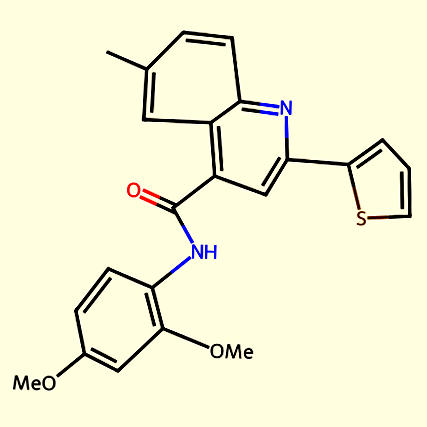 COc1ccc(NC(=O)c2cc(-c3cccs3)nc3ccc(C)cc23)c(OC)c1